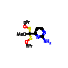 CCCOSC(OC)(SOCCC)c1ccnc(N)n1